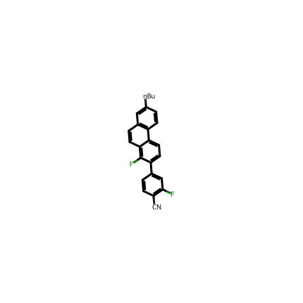 CCCCc1ccc2c(ccc3c(F)c(-c4ccc(C#N)c(F)c4)ccc32)c1